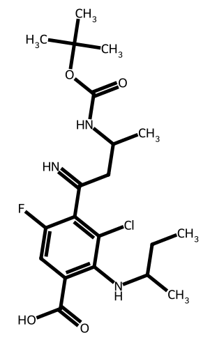 CCC(C)Nc1c(C(=O)O)cc(F)c(C(=N)CC(C)NC(=O)OC(C)(C)C)c1Cl